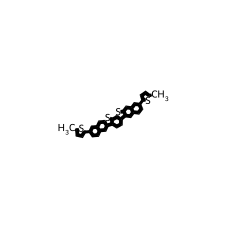 Cc1ccc(-c2ccc3cc4c(cc3c2)sc2c4ccc3c4cc5ccc(-c6ccc(C)s6)cc5cc4sc32)s1